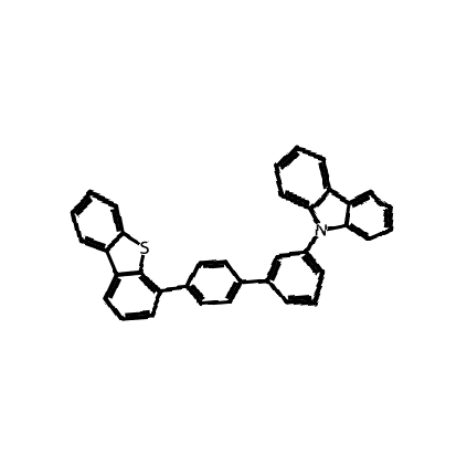 c1cc(-c2ccc(-c3cccc4c3sc3ccccc34)cc2)cc(-n2c3ccccc3c3ccccc32)c1